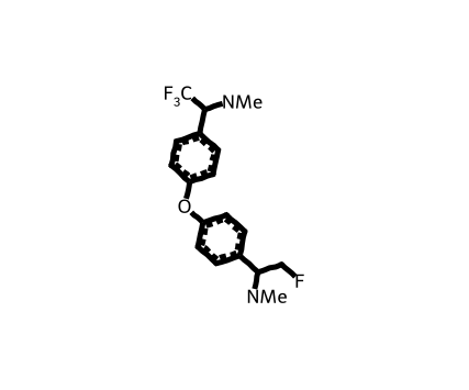 CNC(CF)c1ccc(Oc2ccc(C(NC)C(F)(F)F)cc2)cc1